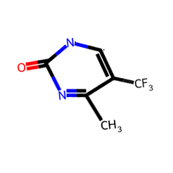 CC1=NC(=O)[N][C]=C1C(F)(F)F